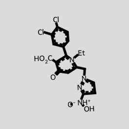 CCn1c(Cn2ccc([NH+]([O-])O)n2)cc(=O)c(C(=O)O)c1-c1ccc(Cl)c(Cl)c1